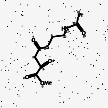 COC(=O)C(=O)CC(=O)SCCNC(=O)C(C)C